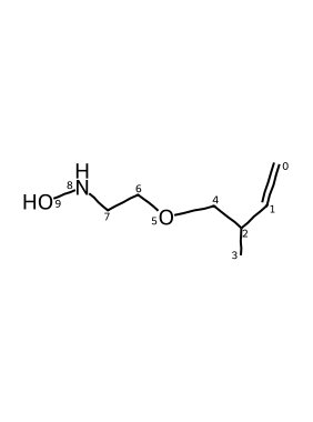 C=CC(C)COCCNO